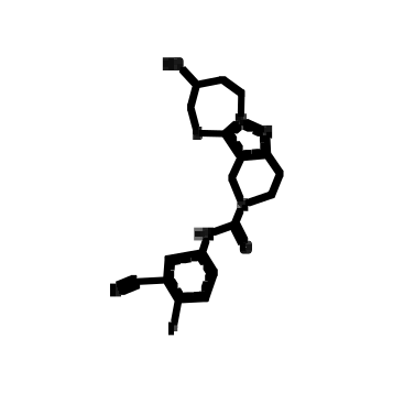 N#Cc1cc(NC(=O)N2CCc3nn4c(c3C2)SCC(O)CC4)ccc1F